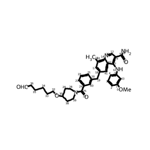 COc1cccc(Nc2c(C(N)=O)cnc3c(C)cc(Cc4cccc(C(=O)N5CCC(OCCCCCC=O)CC5)c4)cc23)c1